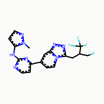 Cn1nccc1Nc1nccc(-c2ccn3c(CC(CF)C(F)(F)F)nnc3c2)n1